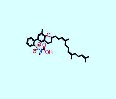 CC(C)=CCCC(C)=CCCC(C)=CCCC1CCc2cc(-c3ccccc3S(=O)(=O)N(C)C(=O)O)cc(C)c2O1